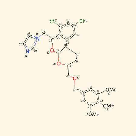 COc1cc(COCC2CCCC(OC(Cn3ccnc3)c3ccc(Cl)cc3Cl)O2)cc(OC)c1OC